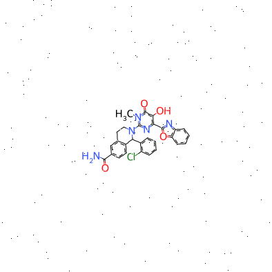 Cn1c(N2CCc3cc(C(N)=O)ccc3C2c2ccccc2Cl)nc(-c2nc3ccccc3o2)c(O)c1=O